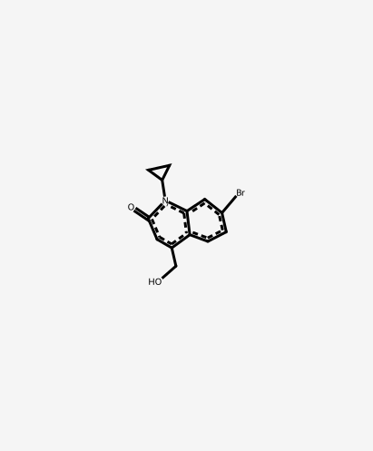 O=c1cc(CO)c2ccc(Br)cc2n1C1CC1